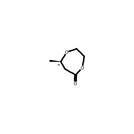 C[C@@H]1CC(=O)OCCO1